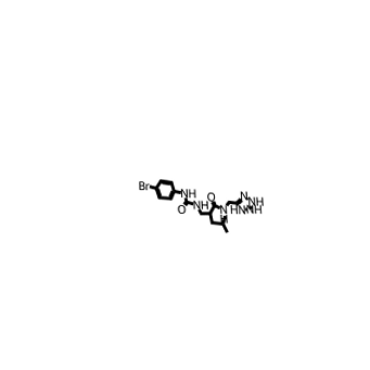 CC(C)CC(CNC(=O)Nc1ccc(Br)cc1)C(=O)NCC1=NNNN1